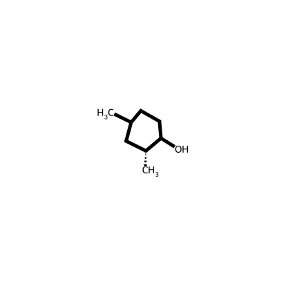 CC1CCC(O)[C@H](C)C1